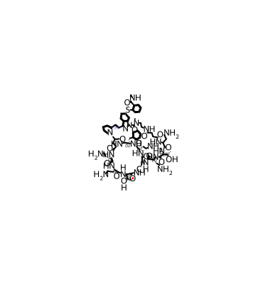 CNC(=O)c1ccccc1Sc1ccc2c(/C=C/c3ccccn3)nn(C(=O)N(C)CCNC(=O)CCC(=O)NC(CCN)C(=O)N[C@H](C(=O)N[C@H](CCN)C(=O)N[C@@H]3CCNC(=O)[C@H]([C@@H](C)O)NC(=O)[C@H](CCN)NC(=O)[C@H](CCN)NC(=O)C(CC(C)C)NC(=O)[C@H](Cc4ccccc4)NC(=O)[C@H](CCN)NC3=O)[C@H](C)O)c2c1